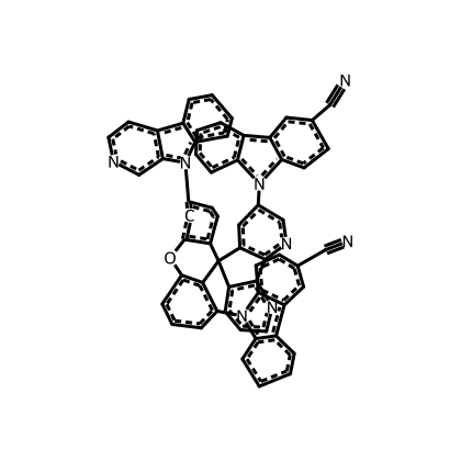 N#Cc1ccc2c(c1)c1ccccc1n2-c1cnc2c(c1)C1(c3ccc(-n4c5ccccc5c5ccncc54)cc3Oc3cccc(-n4c5ccccc5c5cc(C#N)ccc54)c31)c1cccnc1-2